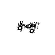 CCC(=O)N(c1ccccc1)C1(C(=O)OC)CCN(CCn2c(=O)oc3ccccc32)CC1